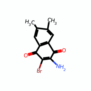 Cc1cc2c(cc1C)C(=O)C(Br)=C(N)C2=O